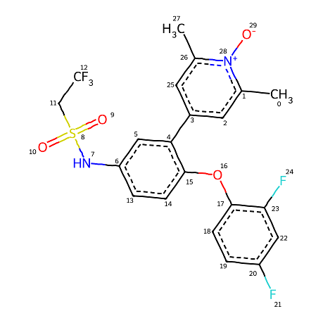 Cc1cc(-c2cc(NS(=O)(=O)CC(F)(F)F)ccc2Oc2ccc(F)cc2F)cc(C)[n+]1[O-]